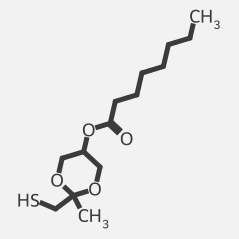 CCCCCCCC(=O)OC1COC(C)(CS)OC1